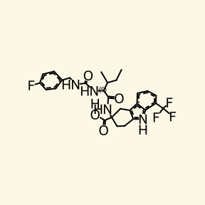 CCC(C)[C@H](NC(=O)NCc1ccc(F)cc1)C(=O)NC1(C(=O)O)CCc2[nH]c3c(C(F)(F)F)cccc3c2C1